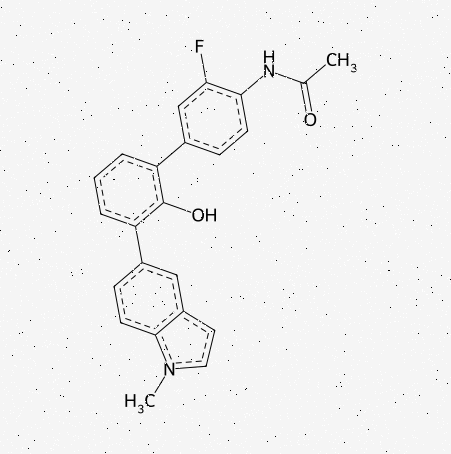 CC(=O)Nc1ccc(-c2cccc(-c3ccc4c(ccn4C)c3)c2O)cc1F